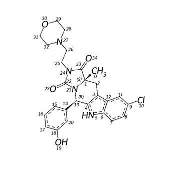 C[C@@]12Cc3c([nH]c4ccc(Cl)cc34)[C@@H](c3cccc(O)c3)N1C(=O)N(CCN1CCOCC1)C2=O